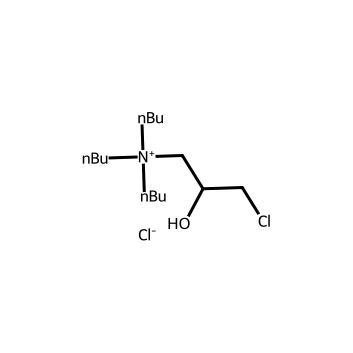 CCCC[N+](CCCC)(CCCC)CC(O)CCl.[Cl-]